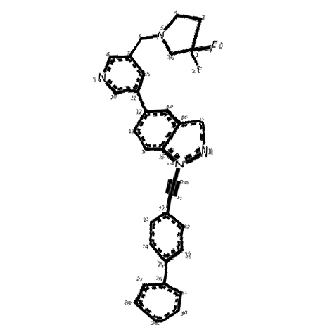 FC1(F)CCN(Cc2cncc(-c3ccc4c(cnn4C#Cc4ccc(-c5ccccc5)cc4)c3)c2)C1